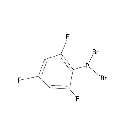 Fc1cc(F)c(P(Br)Br)c(F)c1